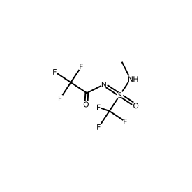 CNS(=O)(=NC(=O)C(F)(F)F)C(F)(F)F